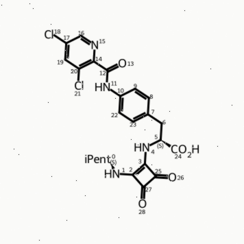 CCC[C@H](C)Nc1c(N[C@@H](Cc2ccc(NC(=O)c3ncc(Cl)cc3Cl)cc2)C(=O)O)c(=O)c1=O